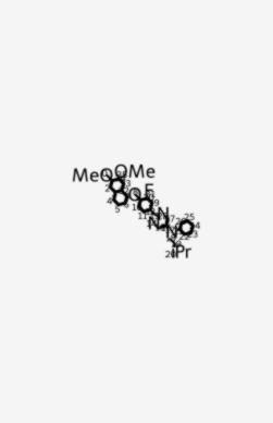 COc1cc2cccc(Oc3ccc(-c4ncc(N(CCC(C)C)c5ccccc5)cn4)cc3F)c2cc1OC